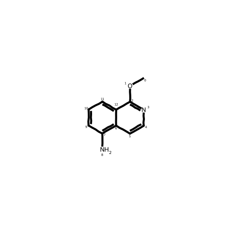 COc1nccc2c(N)cccc12